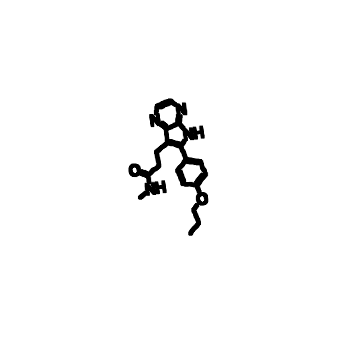 CCCOc1ccc(-c2[nH]c3nccnc3c2CCC(=O)NC)cc1